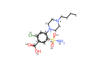 CCCCN1CCN(c2cc(Cl)c(C(=O)O)cc2S(N)(=O)=O)CC1